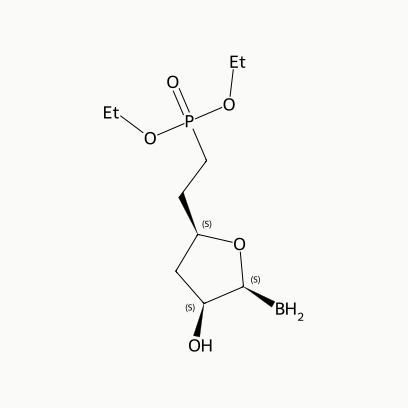 B[C@@H]1O[C@H](CCP(=O)(OCC)OCC)C[C@@H]1O